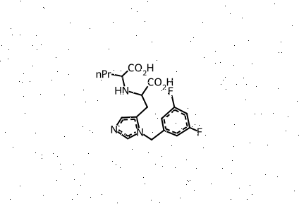 CCCC(NC(Cc1cncn1Cc1cc(F)cc(F)c1)C(=O)O)C(=O)O